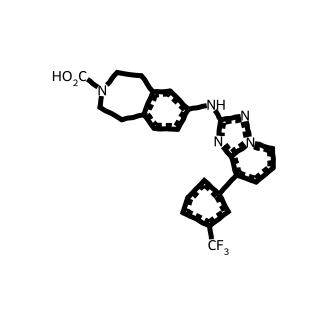 O=C(O)N1CCc2ccc(Nc3nc4c(-c5cccc(C(F)(F)F)c5)cccn4n3)cc2CC1